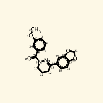 COc1cccc(C(=O)N2CCCC(c3ccc4c(c3)OCO4)=N2)c1